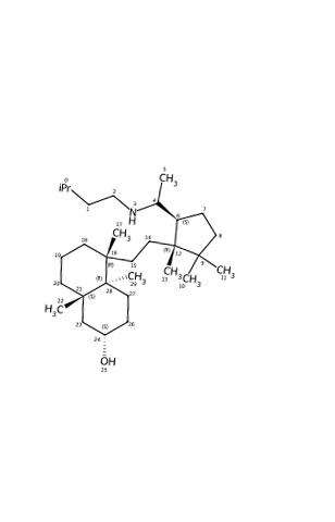 CC(C)CCNC(C)[C@H]1CCC(C)(C)[C@]1(C)CC[C@@]1(C)CCC[C@@]2(C)C[C@@H](O)CC[C@]12C